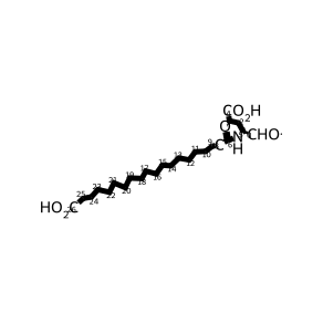 O=[C][C@H](CCC(=O)O)NC(=O)CCCCCCCCCCCCCCCCCCC(=O)O